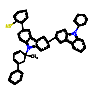 CC1(n2c3ccc(-c4ccc5c(c4)c4ccccc4n5-c4ccccc4)cc3c3cc(-c4ccccc4S)ccc32)C=CC=C(c2ccccc2)C1